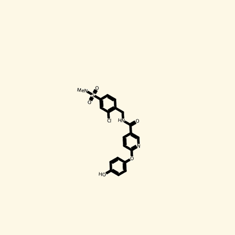 CNS(=O)(=O)c1ccc(CNC(=O)c2ccc(Oc3ccc(O)cc3)nc2)c(Cl)c1